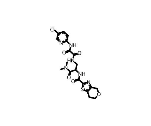 CN(C)C(=O)C(CNC(=O)C(=O)Nc1ccc(Cl)cn1)NC(=O)c1nc2c(s1)CCOC2